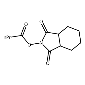 CCCC(=O)ON1C(=O)C2CCCCC2C1=O